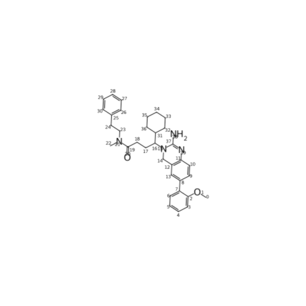 COc1ccccc1-c1ccc2c(c1)CN(C(CCC(=O)N(C)CCc1ccccc1)C1CCCCC1)C(N)=N2